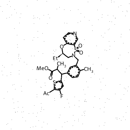 CC[C@@H]1CN(Cc2cc(C(c3cc(F)c(C(C)=O)s3)C(C)C(=O)OC)ccc2C)S(=O)(=O)c2cnccc2O1